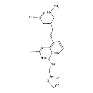 CNCC(COc1cccc2c(NCc3ccco3)nc(Cl)nc12)CS(=O)O